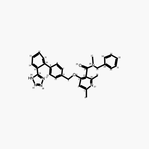 Cc1cc(OCc2ccc(-c3ccccc3-c3nnn[nH]3)cc2)c(C(=O)N(C)Cc2ccccc2)c(C)n1